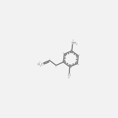 C=CCc1cc(N)ccc1Cl